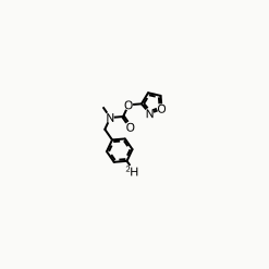 [2H]c1ccc(CN(C)C(=O)Oc2ccon2)cc1